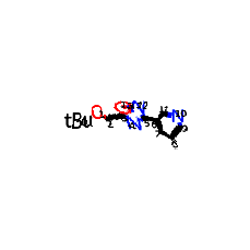 CC(C)(C)OCc1nc(-c2cccnc2)no1